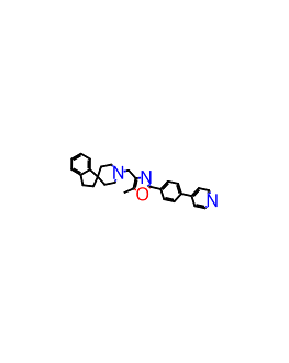 Cc1oc(-c2ccc(-c3ccncc3)cc2)nc1CN1CCC2(CCc3ccccc32)CC1